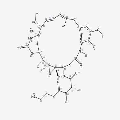 COc1cc2cc(c1Cl)N(C)C(=O)C[C@H](OC(=O)[C@H](C)N(C)C(=O)CCCS)[C@]1(C)O[C@H]1[C@H](C)C1C[C@@](O)(NC(=O)O1)[C@H](OC)/C=C/C=C(\C)C2